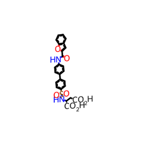 O=C(O)C[C@H](NS(=O)(=O)c1ccc(-c2ccc(NC(=O)c3cc4ccccc4o3)cc2)cc1)C(=O)O